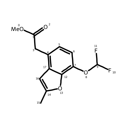 COC(=O)Cc1ccc(OC(F)F)c2oc(C)cc12